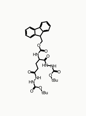 CC(C)(C)OC(=O)NNC(=O)CCC(NC(=O)OCC1c2ccccc2-c2ccccc21)C(=O)NNC(=O)OC(C)(C)C